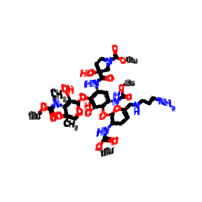 CN(C(=O)OC(C)(C)C)[C@@H]1[C@@H](O)[C@@H](O[C@@H]2[C@@H](O)[C@H](O[C@H]3OC(CNCCCN)=CC[C@H]3NC(=O)OC(C)(C)C)[C@@H](NC(=O)OC(C)(C)C)C[C@H]2NC(=O)C2(O)CCN(C(=O)OC(C)(C)C)C2)OC[C@]1(C)O